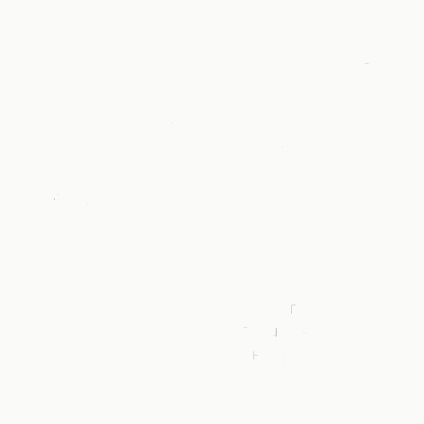 O=C(c1ccccc1)c1ccc(Sc2ccc([S+](c3ccc(F)cc3)c3ccc(F)cc3)cc2)c(Cl)c1.[F][Sb-]([F])([F])([F])([F])[F]